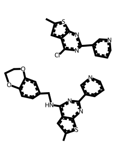 Cc1cc2c(Cl)nc(-c3cccnc3)nc2s1.Cc1cc2c(NCc3ccc4c(c3)OCCO4)nc(-c3cccnc3)nc2s1